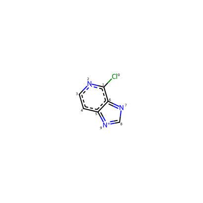 Clc1nccc2c1=NC=[N+]=2